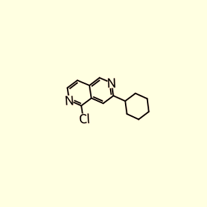 Clc1nccc2cnc(C3CCCCC3)cc12